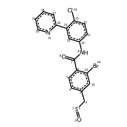 O=[S+]Cc1ccc(C(=O)Nc2ccc(Cl)c(-c3ccccn3)c2)c(Br)c1